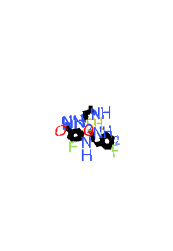 CC(=N)/C=C(\S)Nc1cc(N[C@H](Cc2cccc(F)c2)C(N)=O)c(F)cc1C(N)=O